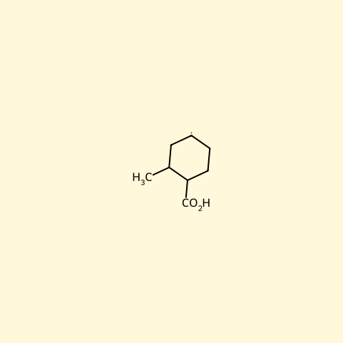 CC1C[CH]CCC1C(=O)O